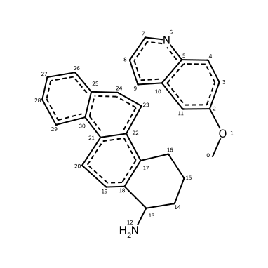 COc1ccc2ncccc2c1.NC1CCCc2c1ccc1c2ccc2ccccc21